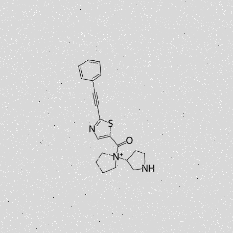 O=C(c1cnc(C#Cc2ccccc2)s1)[N+]1(C2CCNC2)CCCC1